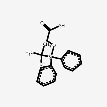 CC(C)(C)[Si](OCC(=O)S)(c1ccccc1)c1ccccc1